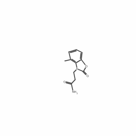 Cc1cccc2oc(=O)n(CCC(N)=O)c12